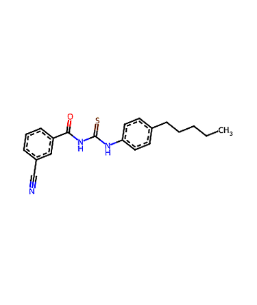 CCCCCc1ccc(NC(=S)NC(=O)c2cccc(C#N)c2)cc1